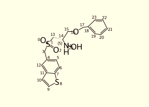 O=S(=O)(Cc1ccc2sccc2c1)C[C@H](COCc1ccccc1)NO